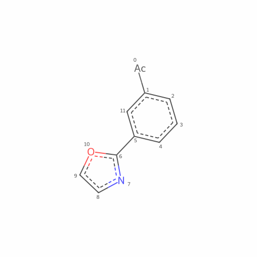 CC(=O)c1cccc(-c2ncco2)c1